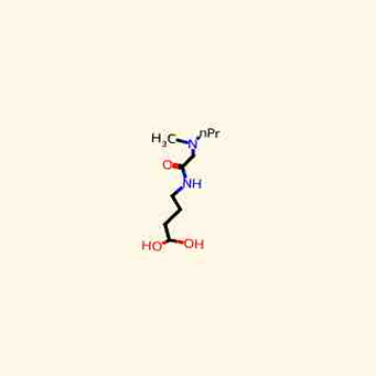 CCCN(C)CC(=O)NCCCC(O)O